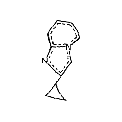 c1ccn2cc(C3CC3)nc2c1